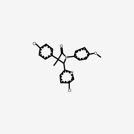 COc1ccc(N2C(=O)C(C)(c3ccc(Cl)cc3)C2c2ccc(Cl)cn2)cc1